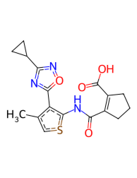 Cc1csc(NC(=O)C2=C(C(=O)O)CCC2)c1-c1nc(C2CC2)no1